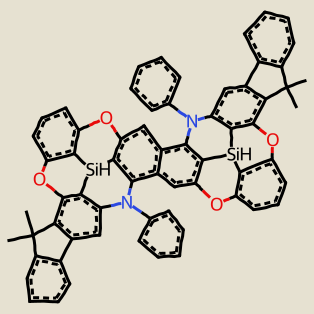 CC1(C)c2ccccc2-c2cc3c4c(c21)Oc1cccc2c1[SiH]4c1c(cc4c5c6c(cc4c1N3c1ccccc1)Oc1cccc3c1[SiH]6c1c(cc4c(c1O3)C(C)(C)c1ccccc1-4)N5c1ccccc1)O2